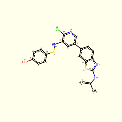 C=C(C)Nc1nc2ccc(-c3cnc(Cl)c(NSc4ccc(O)cc4)c3)cc2s1